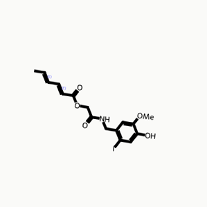 C/C=C/C=C/C(=O)OCC(=O)NCc1cc(OC)c(O)cc1I